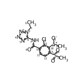 CCn1nnnc1NC(=O)c1ccc(S(C)(=O)=O)c([S+](C)[O-])c1Cl